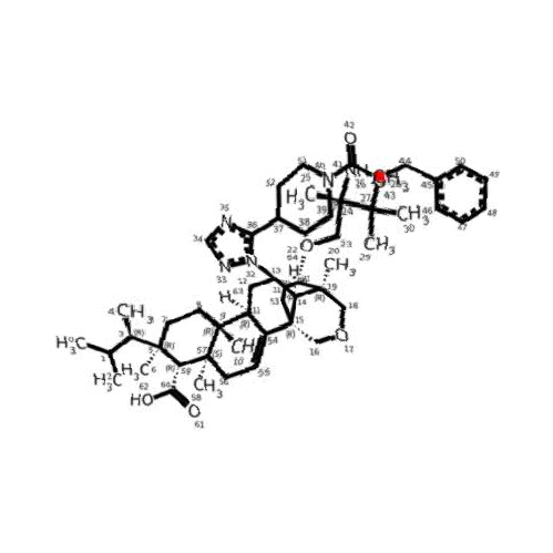 CC(C)[C@@H](C)[C@@]1(C)CC[C@]2(C)[C@H]3CC[C@@H]4[C@@]5(COC[C@]4(C)[C@@H](OC[C@](C)(N)C(C)(C)C)[C@H](n4ncnc4C4CCN(C(=O)OCc6ccccc6)CC4)C5)C3=CC[C@@]2(C)[C@@H]1C(=O)O